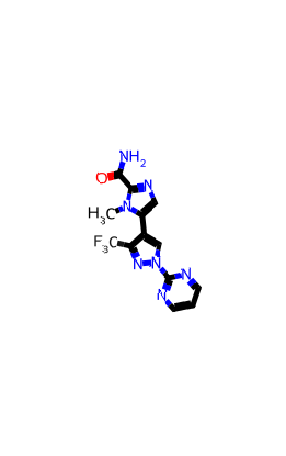 Cn1c(-c2cn(-c3ncccn3)nc2C(F)(F)F)cnc1C(N)=O